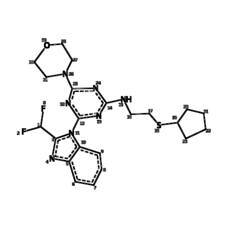 FC(F)c1nc2ccccc2n1-c1nc(NCCSC2CCCC2)nc(N2CCOCC2)n1